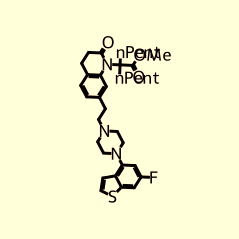 CCCCCC(CCCCC)(C(=O)OC)N1C(=O)CCc2ccc(CCN3CCN(c4cc(F)cc5sccc45)CC3)cc21